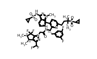 C[C@@H]1c2c(C(F)F)nn(CC(=O)N[C@@H](Cc3cc(F)cc(F)c3)c3nc(CCC(C)(C)S(=O)(=O)C4CC4)ccc3-c3cccc4c(NS(=O)(=O)C5CC5)nn(C)c34)c2C(F)(F)[C@@H]1C